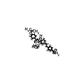 CC(C)Oc1ccc(N(C)CCC2(O)CCN(CCc3ccc(C(N)=O)cc3)CC2)cc1.Cl.Cl